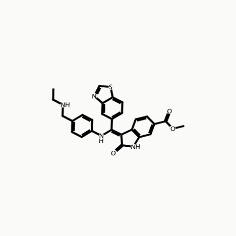 CCNCc1ccc(N/C(=C2\C(=O)Nc3cc(C(=O)OC)ccc32)c2ccc3scnc3c2)cc1